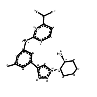 Cc1cc(Nc2nccc(C(F)F)n2)cc(-c2cn([C@H]3CCCC[C@@H]3O)nn2)c1